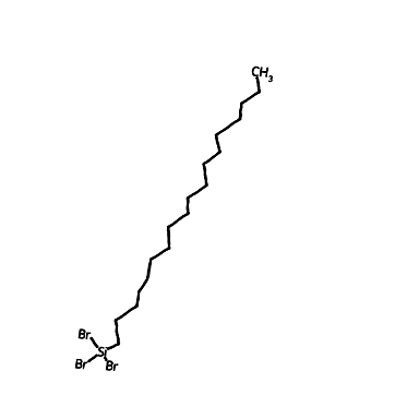 CCCCCCCCCCCCCCCCCC[Si](Br)(Br)Br